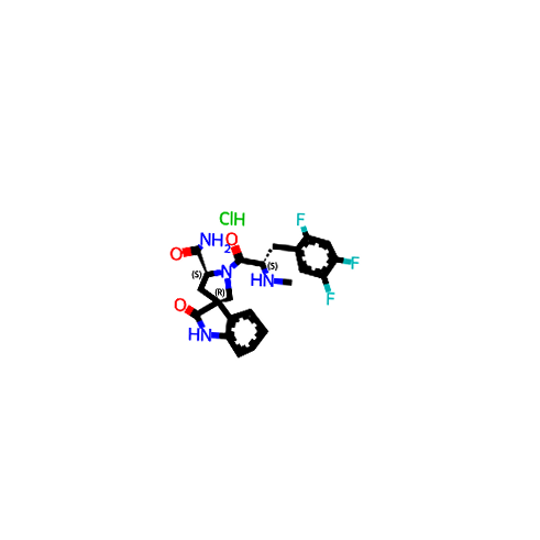 CN[C@@H](Cc1cc(F)c(F)cc1F)C(=O)N1C[C@]2(C[C@H]1C(N)=O)C(=O)Nc1ccccc12.Cl